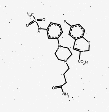 CS(=O)(=O)Nc1cccc(N2CCN(CCCC(N)=O)CC2)c1.O=C(O)C1=Cc2cc(F)ccc2SC1